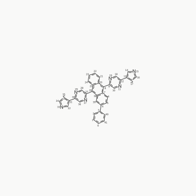 c1ccc(-c2ccc3c(-c4cnc(-c5cncs5)cn4)c4ccccc4c(-c4cnc(-c5cncs5)cn4)c3c2)cc1